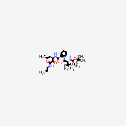 C=CCNC(=O)C(=O)[C@@H](CCC)NC(=O)[C@@H]1C2CCC(C2)N1C(=O)[C@H](NC(=O)OC(C)(C)C)C(C)(C)C